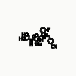 CC(C)(C)C(NC(=O)c1nn(Cc2ccc(C#N)cc2)c2c(F)cccc12)C(=O)NC(CO)CO